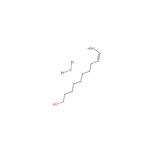 CCCCCCCC/C=C\CCCCCCCCO.CCOCC